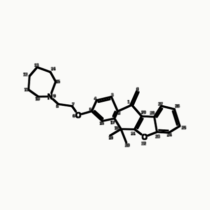 C=C1c2ccc(OCCN3CCCCCC3)cc2C(C)(C)c2oc3ccccc3c21